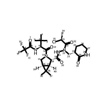 CC(C)(C)[C@H](NC(=O)C(F)(F)F)C(=O)N1C[C@H]2[C@@H]([C@H]1C(=O)NN(C[C@@H]1CCCNC1=O)C(=O)[C@H](F)Cl)C2(C)C